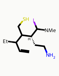 C=CC(CC)C(CS)[C@@H](CCN)C(I)NC